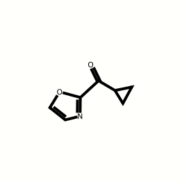 O=C(c1ncco1)C1CC1